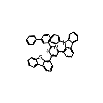 c1ccc(-c2cccc(-c3nc(-c4cccc5c4sc4ccccc45)cc(-c4cccc5c6ccccc6n(-c6ccccc6)c45)n3)c2)cc1